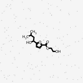 CC(C)CC(O)c1ccc(C(=O)OCCO)o1